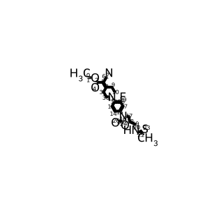 CCOC(=O)C(C#N)=C1CCN(c2ccc(N3CC(CNC(C)=S)OC3=O)cc2F)CC1